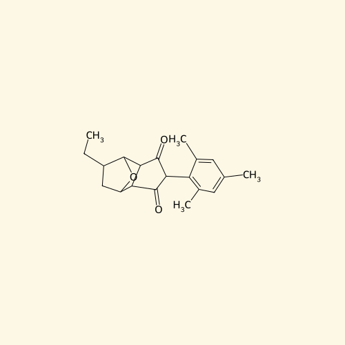 CCC1CC2OC1C1C(=O)C(c3c(C)cc(C)cc3C)C(=O)C21